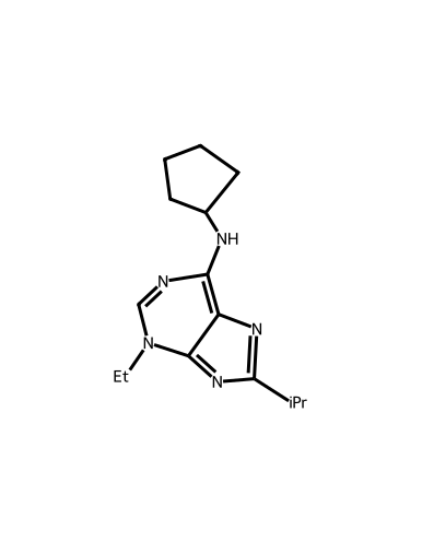 CCn1cnc(NC2CCCC2)c2nc(C(C)C)nc1-2